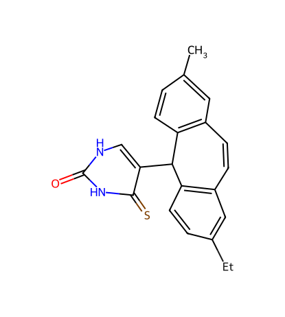 CCc1ccc2c(c1)C=Cc1cc(C)ccc1C2c1c[nH]c(=O)[nH]c1=S